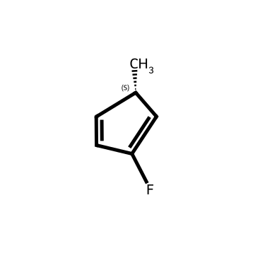 C[C@H]1C=CC(F)=C1